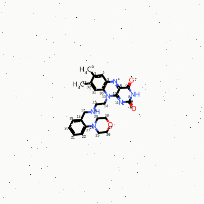 Cc1cc2nc3c(=O)[nH]c(=O)nc-3n(CCNCc3ccccc3N3CCOCC3)c2cc1C